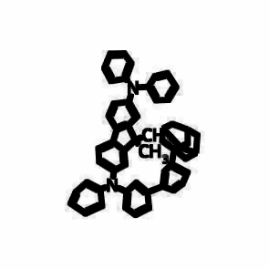 CC1(C)c2cc(N(c3ccccc3)c3ccccc3)ccc2-c2ccc(N(c3ccccc3)c3cccc(-c4cccc(C56CC7CC(CC(C7)C5)C6)c4)c3)cc21